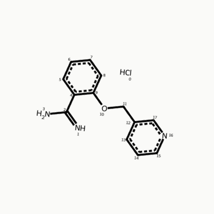 Cl.N=C(N)c1ccccc1OCc1cccnc1